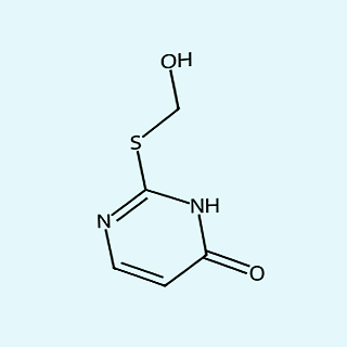 O=c1ccnc(SCO)[nH]1